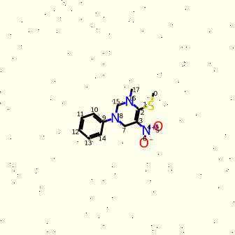 CSC1=C([N+](=O)[O-])CN(c2ccccc2)CN1C